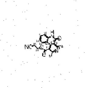 Cc1nc(C)c2c(=O)[nH]c3ccccc3c2c1C(=O)OCCC#N